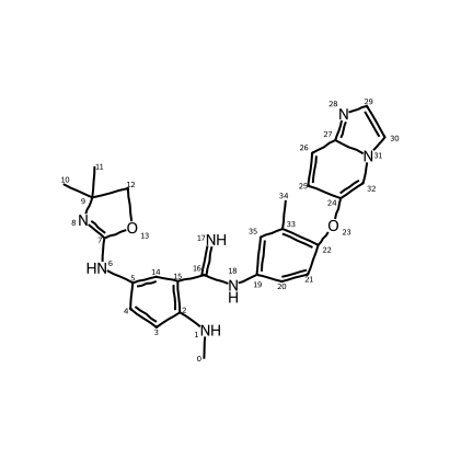 CNc1ccc(NC2=NC(C)(C)CO2)cc1C(=N)Nc1ccc(Oc2ccc3nccn3c2)c(C)c1